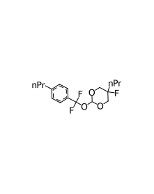 CCCc1ccc(C(F)(F)OC2OCC(F)(CCC)CO2)cc1